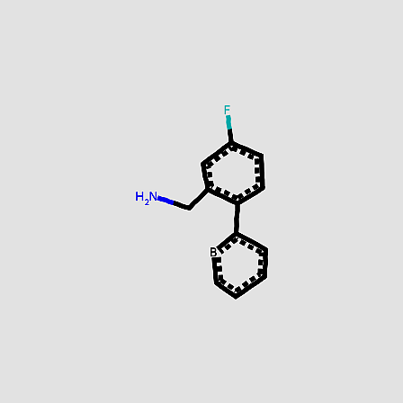 NCc1cc(F)ccc1-c1bcccc1